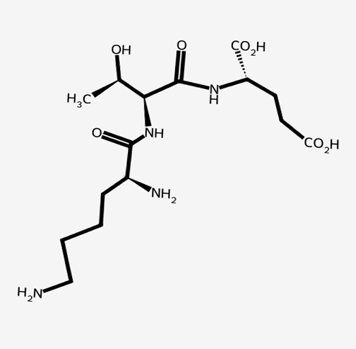 C[C@@H](O)[C@H](NC(=O)[C@@H](N)CCCCN)C(=O)N[C@@H](CCC(=O)O)C(=O)O